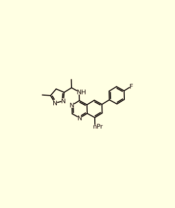 CCCc1cc(-c2ccc(F)cc2)cc2c(NC(C)C3=NN=C(C)C3)ncnc12